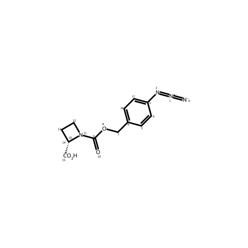 [N-]=[N+]=Nc1ccc(COC(=O)N2CC[C@H]2C(=O)O)cc1